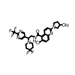 O=C(NCC(c1cnc(C(F)(F)F)nc1)N1CCC(F)(F)CC1)c1c(Cl)ccc2nc(N3CCC(O)C3)ccc12